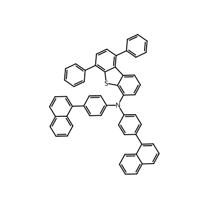 c1ccc(-c2ccc(-c3ccccc3)c3c2sc2c(N(c4ccc(-c5cccc6ccccc56)cc4)c4ccc(-c5cccc6ccccc56)cc4)cccc23)cc1